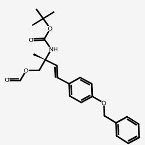 CC(C)(C)OC(=O)N[C@](C)(/C=C/c1ccc(OCc2ccccc2)cc1)COC=O